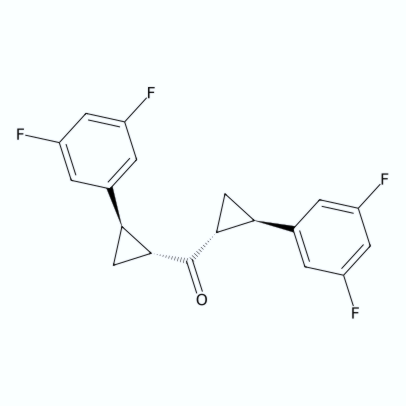 O=C([C@@H]1C[C@H]1c1cc(F)cc(F)c1)[C@@H]1C[C@H]1c1cc(F)cc(F)c1